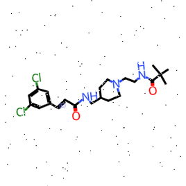 CC(C)(C)C(=O)NCCN1CCC(CNC(=O)/C=C/c2cc(Cl)cc(Cl)c2)CC1